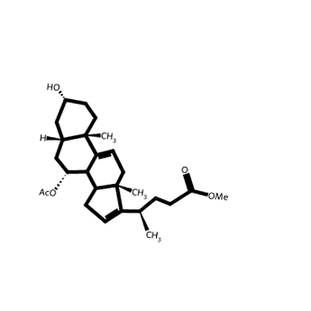 COC(=O)CC[C@@H](C)C1=CCC2C3C(=CC[C@]12C)[C@@]1(C)CC[C@@H](O)C[C@H]1C[C@H]3OC(C)=O